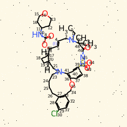 CCN1C/C=C/[C@H](OC(=O)NC2CCOCC2)[C@@H]2CC[C@H]2CN2CCCCc3cc(Cl)ccc3COc3ccc(cc32)S(=O)(=O)NC(=O)C1(C)C